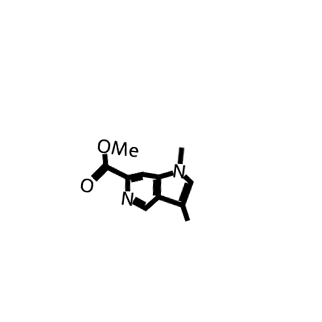 COC(=O)c1cc2c(cn1)c(C)cn2C